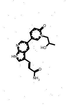 CC(O)Cn1cc(-c2cnc3[nH]cc(C=CC(N)=O)c3c2)ccc1=O